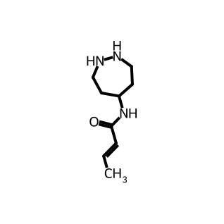 CC=CC(=O)NC1CCNNCC1